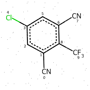 N#Cc1cc(Cl)cc(C#N)c1C(F)(F)F